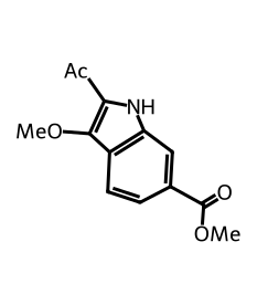 COC(=O)c1ccc2c(OC)c(C(C)=O)[nH]c2c1